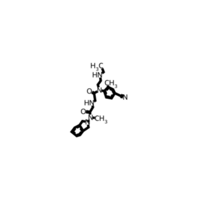 CCNCCN(C(=O)CNCC(=O)N(C)N1Cc2ccccc2C1)c1ccc(C#N)cc1C